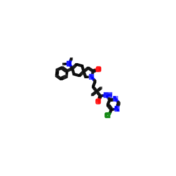 CN(C)C1(c2ccccc2)CCC2(CC1)CC(=O)N(CCC(C)(C)C(=O)Nc1cc(Cl)ncn1)C2